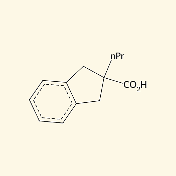 CCCC1(C(=O)O)Cc2ccccc2C1